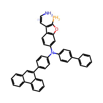 N/C=C\c1c(P)oc2cc(N(c3ccc(-c4ccccc4)cc3)c3ccc(-c4cc5ccccc5c5ccccc45)cc3)ccc12